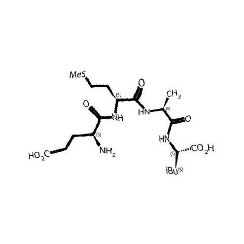 CC[C@H](C)[C@H](NC(=O)[C@H](C)NC(=O)[C@H](CCSC)NC(=O)[C@@H](N)CCC(=O)O)C(=O)O